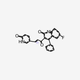 O=C(/C=C/c1ccc(=O)[nH]c1)c1c(-c2ccccc2)c2cc(F)ccc2[nH]c1=O